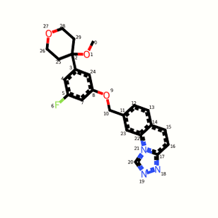 COC1(c2cc(F)cc(OCc3ccc4ccc5nncn5c4c3)c2)CCOCC1